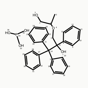 CC(CO)OCC(O)(c1ccccc1)C(c1ccccc1)(c1ccccc1)c1ccccc1.OP(O)O